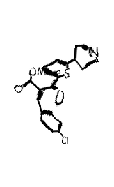 COC(=O)C(=Cc1ccc(Cl)cc1)C(=O)c1ccc(-c2ccncc2)s1